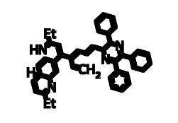 C=CC(=C\C=C\C1N=C(c2ccccc2)C(C2=CCCC=C2)=NC1C1C=CC=CC1)/C(=C/C(=N)CC)C1=CC2N=C(CC)C=C[C@@H]2C=C1